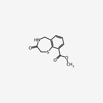 COC(=O)c1cccc2c1SCC(=O)NC2